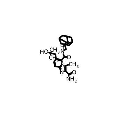 Cc1c(C(N)=O)nc2ccc(CC(C)(C)O)c(C(=O)NCC34CC5CC(CC(C5)C3)C4)n12